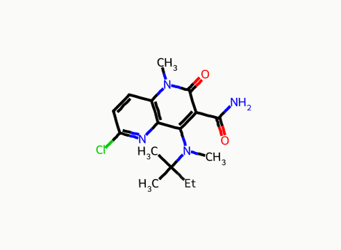 CCC(C)(C)N(C)c1c(C(N)=O)c(=O)n(C)c2ccc(Cl)nc12